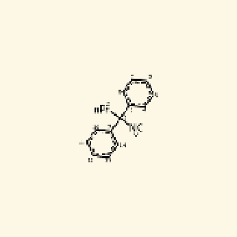 [C-]#[N+]C(CCC)(c1ccccc1)c1ccccc1